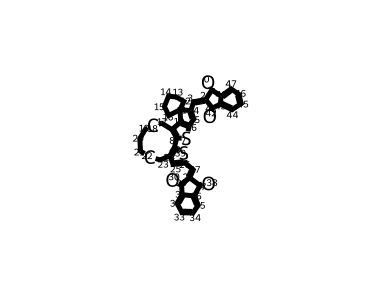 O=C1C(=CC2=Cc3sc4c(c3C23CCCCC3)CCCCCCCc2cc(C=C3C(=O)c5ccccc5C3=O)sc2-4)C(=O)c2ccccc21